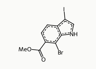 COC(=O)c1ccc2c(I)c[nH]c2c1Br